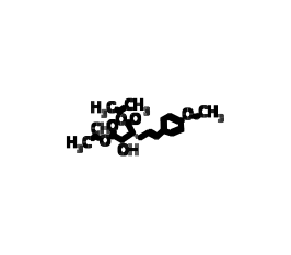 CCOc1ccc(C=CC[C@@H](C(=O)OC(C)C)[C@H](O)C(=O)OC(C)C)cc1